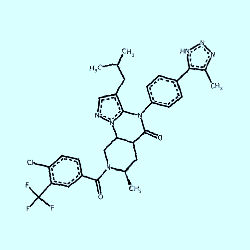 Cc1nn[nH]c1-c1ccc(N2C(=O)C3C[C@@H](C)N(C(=O)c4ccc(Cl)c(C(F)(F)F)c4)CC3n3ncc(CC(C)C)c32)cc1